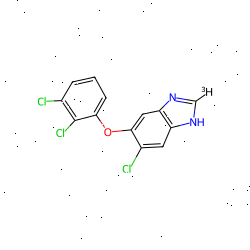 [3H]c1nc2cc(Oc3cccc(Cl)c3Cl)c(Cl)cc2[nH]1